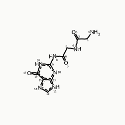 NCC(=O)NCC(=O)Nc1nc2[nH]cnc2c(=O)[nH]1